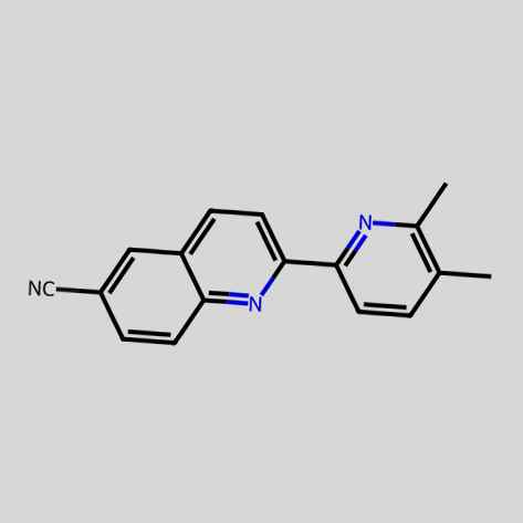 Cc1ccc(-c2ccc3cc(C#N)ccc3n2)nc1C